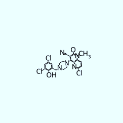 Cn1c(=O)c(C#N)c(N2CCN(Cc3cc(Cl)cc(Cl)c3O)CC2)c2nc(Cl)ccc21